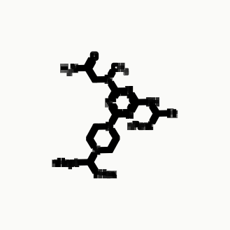 CCCCCCCC(CCCCCC)N1CCN(c2nc(BC(CC)CCCCC)nc(N(C)CC(N)=O)n2)CC1